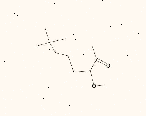 COC(CCCC(C)(C)C)C(C)=O